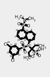 CCC(CC)(N(c1cccc2c(S(=O)(=O)N(C)C)cccc12)S(=O)(=O)c1cc(Cl)cc(Cl)c1)P(=O)(O)O